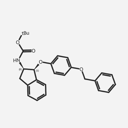 CC(C)(C)OC(=O)N[C@@H]1Cc2ccccc2[C@@H]1Oc1ccc(OCc2ccccc2)cc1